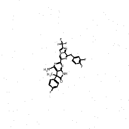 CC1(c2ccc(F)cc2)C(=O)Nc2nc(-c3cn4cc(C(F)(F)F)nc4c(Cc4ccc(F)c(F)c4)n3)nc(N)c21